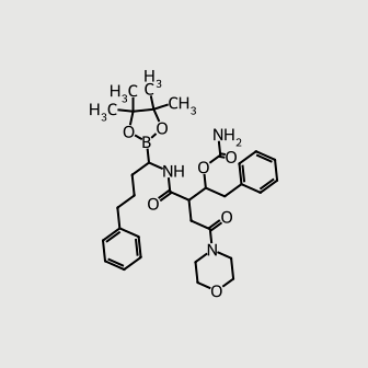 CC1(C)OB(C(CCCc2ccccc2)NC(=O)C(CC(=O)N2CCOCC2)C(Cc2ccccc2)OC(N)=O)OC1(C)C